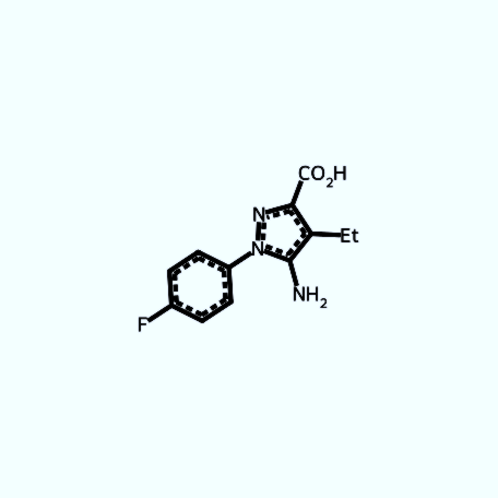 CCc1c(C(=O)O)nn(-c2ccc(F)cc2)c1N